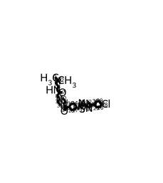 CN(C)CCNC(=O)CN1CCN(C(=O)C2CCN(c3nn4cc(-c5ccc(Cl)cc5)nc4s3)CC2)CC1